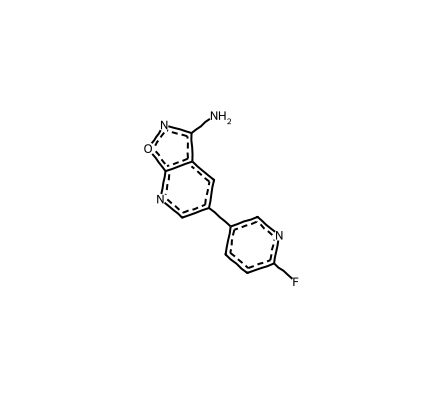 Nc1noc2ncc(-c3ccc(F)nc3)cc12